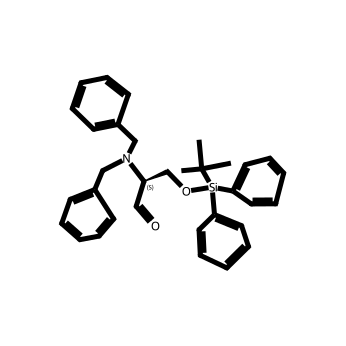 CC(C)(C)[Si](OC[C@@H](C=O)N(Cc1ccccc1)Cc1ccccc1)(c1ccccc1)c1ccccc1